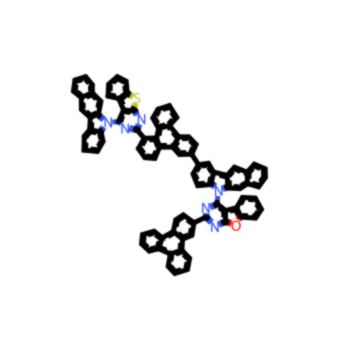 c1ccc2cc3c(cc2c1)c1cc(-c2ccc4c5ccccc5c5c(-c6nc(-n7c8ccccc8c8cc9ccccc9cc87)c7c(n6)sc6ccccc67)cccc5c4c2)ccc1n3-c1nc(-c2ccc3c4ccccc4c4ccccc4c3c2)nc2oc3ccccc3c12